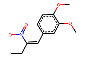 CCC(=Cc1ccc(OC)c(OC)c1)[N+](=O)[O-]